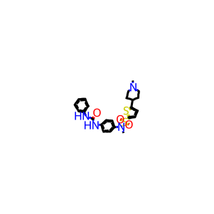 CN1CCC(c2ccc(S(=O)(=O)N(C)c3ccc(NC(=O)Nc4ccccc4)cc3)s2)CC1